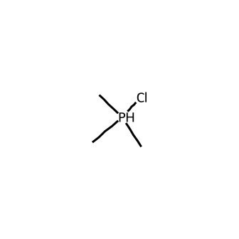 C[PH](C)(C)Cl